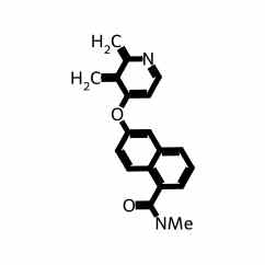 C=c1nccc(Oc2ccc3c(C(=O)NC)cccc3c2)c1=C